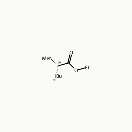 CCOC(=O)[C@@H](NC)[C@@H](C)CC